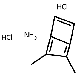 Cc1c2ccc-2c1C.Cl.Cl.N